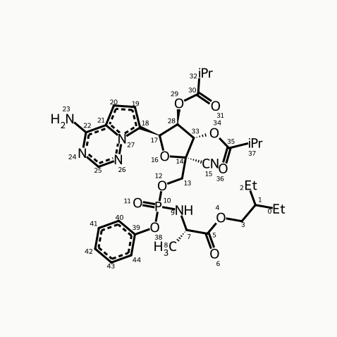 CCC(CC)COC(=O)[C@H](C)NP(=O)(OC[C@@]1(C#N)O[C@@H](c2ccc3c(N)ncnn23)[C@@H](OC(=O)C(C)C)[C@@H]1OC(=O)C(C)C)Oc1ccccc1